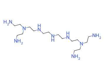 NCCN(CCN)CCNCCNCCNCCN(CCN)CCN